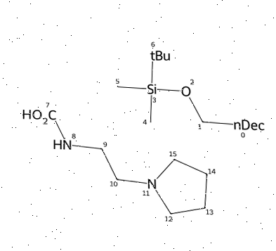 CCCCCCCCCCCO[Si](C)(C)C(C)(C)C.O=C(O)NCCN1CCCC1